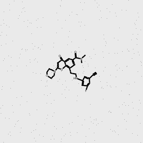 C#Cc1cc(F)cc(NCCc2cc(C(=O)N(C)C)cc3c(=O)cc(N4CCOCC4)oc23)c1